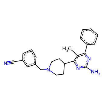 Cc1c(-c2ccccc2)nc(N)nc1C1CCN(Cc2cccc(C#N)c2)CC1